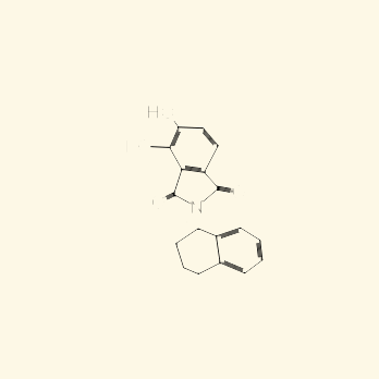 Cc1c(O)ccc2c1C(=O)N([C@H]1CCCc3ccccc31)C2=O